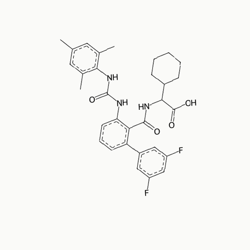 Cc1cc(C)c(NC(=O)Nc2cccc(-c3cc(F)cc(F)c3)c2C(=O)NC(C(=O)O)C2CCCCC2)c(C)c1